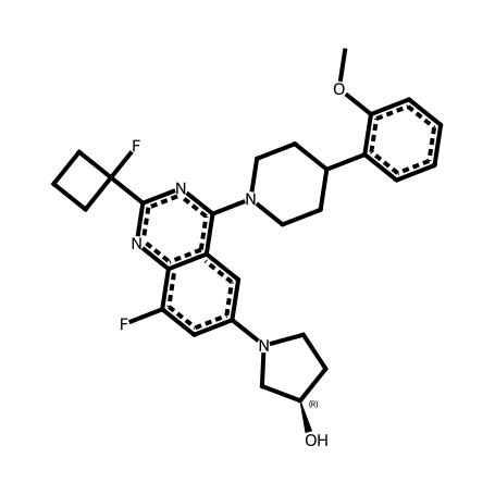 COc1ccccc1C1CCN(c2nc(C3(F)CCC3)nc3c(F)cc(N4CC[C@@H](O)C4)cc23)CC1